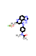 CC(=O)N(C)c1ccc(Nc2cc(C)nc3ccc4nc[nH]c4c23)cc1.Cl.O